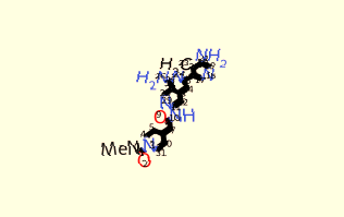 CNC(=O)N1CCC(=CC(=O)Nc2cc3cc(-c4cncc(N)c4C)nc(N)c3cn2)CC1